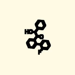 O=C(c1ccccc1-c1ccccc1F)C(O)c1ccccc1